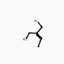 CC=C(CC(C)=O)CC(C)=O